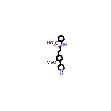 COc1cc(C=CC(=O)Nc2ccccc2C(=O)O)ccc1C1=CCNCC1